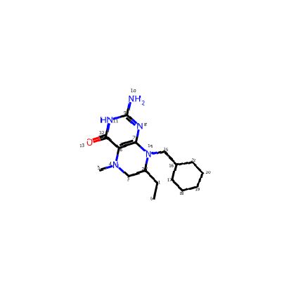 CCC1CN(C)c2c(nc(N)[nH]c2=O)N1CC1CCCCC1